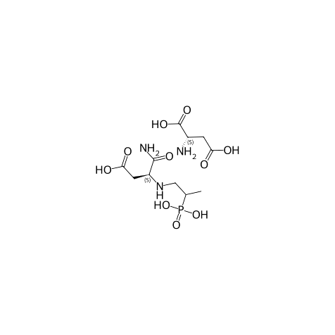 CC(CN[C@@H](CC(=O)O)C(N)=O)P(=O)(O)O.N[C@@H](CC(=O)O)C(=O)O